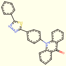 O=c1c2ccccc2n(-c2ccc(-c3nnc(-c4ccccc4)s3)cc2)c2ccccc12